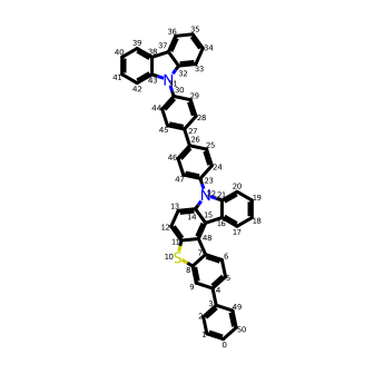 c1ccc(-c2ccc3c(c2)sc2ccc4c(c5ccccc5n4-c4ccc(-c5ccc(-n6c7ccccc7c7ccccc76)cc5)cc4)c23)cc1